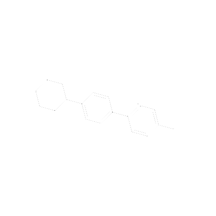 CC(C)c1ccc(-c2ccc(C3CCCCC3)cc2)nc1